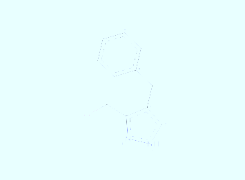 OCc1n[nH]cc1Cc1ccccc1